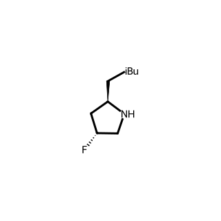 CCC(C)C[C@@H]1C[C@@H](F)CN1